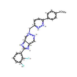 COc1ccc(-c2ccc(Cn3cc4nc(-c5cccc(F)c5F)nc-4cn3)nn2)cc1